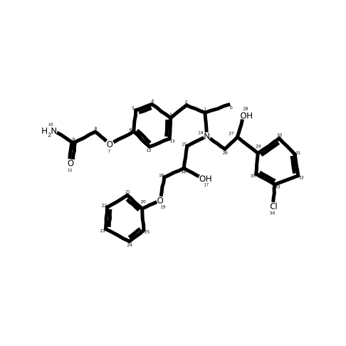 CC(Cc1ccc(OCC(N)=O)cc1)N(CC(O)COc1ccccc1)CC(O)c1cccc(Cl)c1